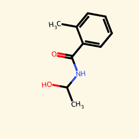 Cc1ccccc1C(=O)NC(C)O